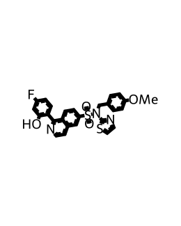 COc1ccc(CN(c2nccs2)S(=O)(=O)c2ccc3c(-c4ccc(F)cc4O)nccc3c2)cc1